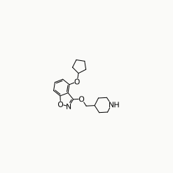 c1cc(OC2CCCC2)c2c(OCC3CCNCC3)noc2c1